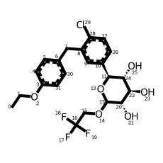 CCOc1ccc(Cc2cc([C@@H]3OC(OCC(F)(F)F)[C@@H](O)[C@H](O)[C@H]3O)ccc2Cl)cc1